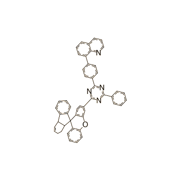 C1=CC2c3ccccc3C3(c4ccccc4Oc4cc(-c5nc(-c6ccccc6)nc(-c6ccc(-c7cccc8cccnc78)cc6)n5)ccc43)C2CC1